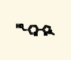 Cn1ccc(-c2ccc(CO)cn2)n1